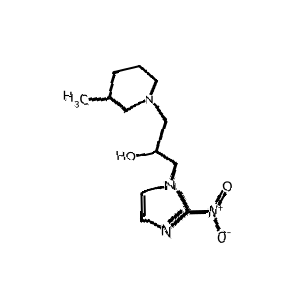 CC1CCCN(CC(O)Cn2ccnc2[N+](=O)[O-])C1